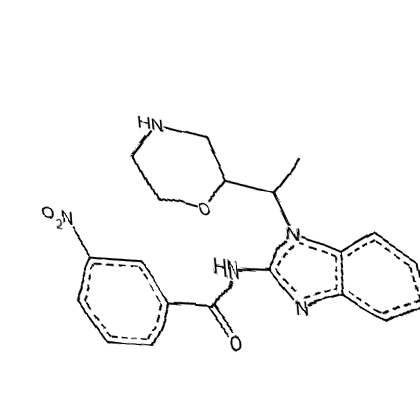 CC(C1CNCCO1)n1c(NC(=O)c2cccc([N+](=O)[O-])c2)nc2ccccc21